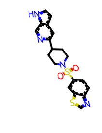 O=S(=O)(c1ccc2ncsc2c1)N1CCC(c2cc3cc[nH]c3cn2)CC1